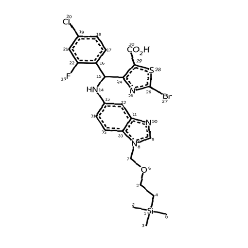 C[Si](C)(C)CCOCn1cnc2cc(NC(c3ccc(Cl)cc3F)c3nc(Br)sc3C(=O)O)ccc21